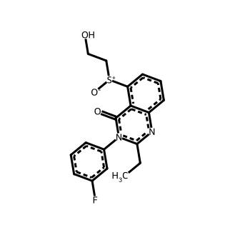 CCc1nc2cccc([S+]([O-])CCO)c2c(=O)n1-c1cccc(F)c1